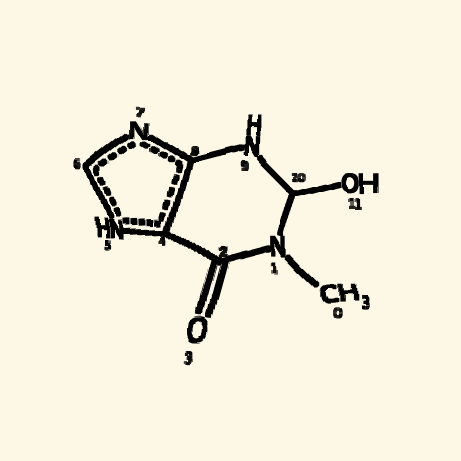 CN1C(=O)c2[nH]cnc2NC1O